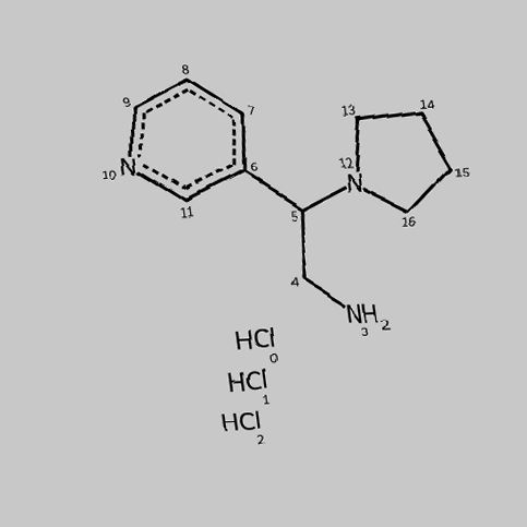 Cl.Cl.Cl.NCC(c1cccnc1)N1CCCC1